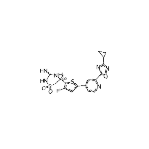 C[C@@]1(c2sc(-c3ccnc(-c4nc(C5CC5)no4)c3)cc2F)CS(=O)(=O)NC(=N)N1